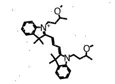 COC(C)CCN1/C(=C/C=C/C2=[N+](CCC(C)OC)c3ccccc3C2(C)C)C(C)(C)c2ccccc21